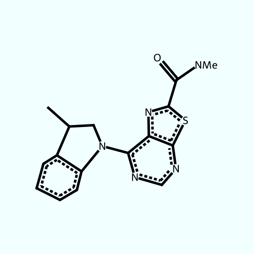 CNC(=O)c1nc2c(N3CC(C)c4ccccc43)ncnc2s1